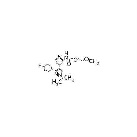 COCCOCC(=O)Nc1cc(-c2cn(C(C)C)nc2-c2ccc(F)cc2)ccn1